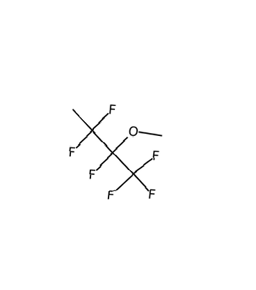 COC(F)(C(C)(F)F)C(F)(F)F